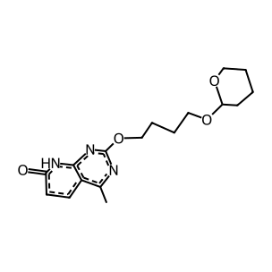 Cc1nc(OCCCCOC2CCCCO2)nc2[nH]c(=O)ccc12